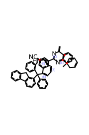 C=C(/N=C(\N=C(/C)C1(C)C=CC=CC1)c1cc(C#N)cc(\C2=C/C=C\C=C\Nc3ccccc3C2(c2ccccc2)c2cccc3c2Cc2ccccc2-3)c1)c1ccccc1